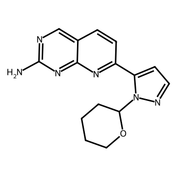 Nc1ncc2ccc(-c3ccnn3C3CCCCO3)nc2n1